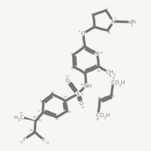 CCCN1CCC(Oc2ccc(NS(=O)(=O)c3ccc([C@H](C)C(F)F)cc3)c(C)n2)C1.O=C(O)C=CC(=O)O